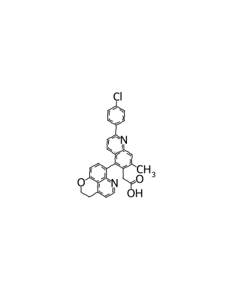 Cc1cc2nc(-c3ccc(Cl)cc3)ccc2c(-c2ccc3c4c(ccnc24)CCO3)c1CC(=O)O